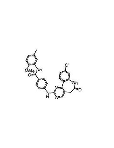 COc1ccc(C)cc1NC(=O)c1ccc(Nc2ncc3c(n2)-c2ccc(Cl)cc2NC(=O)C3)cc1